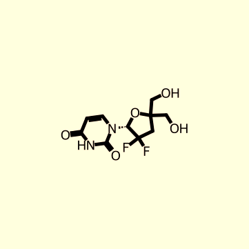 O=c1ccn([C@@H]2OC(CO)(CO)CC2(F)F)c(=O)[nH]1